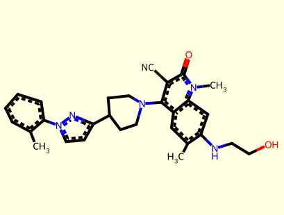 Cc1cc2c(N3CCC(c4ccn(-c5ccccc5C)n4)CC3)c(C#N)c(=O)n(C)c2cc1NCCO